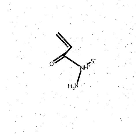 C=CC(=O)[NH+](N)[S-]